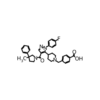 CC1(c2ccccc2)CCN(C(=O)c2cnn(-c3ccc(F)cc3)c2C2CCN(Cc3ccc(C(=O)O)cc3)CC2)C1